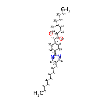 CCCCCCCCCCc1cnc(-c2ccc(CC(=O)C3CCC(CCCCC)CC3=O)cc2)nc1